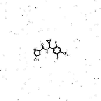 O=C(NC(c1cc(F)c(C(F)(F)F)cc1F)C1CC1)[C@H]1C[C@@H](O)CN1